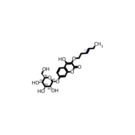 CC/C=C/CCOc1c(O)c2ccc(O[C@@H]3O[C@H](CO)[C@@H](O)[C@H](O)[C@H]3O)cc2oc1=O